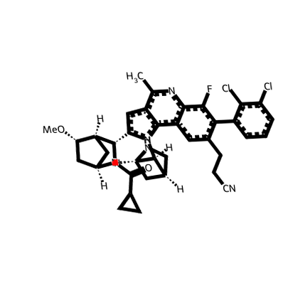 CO[C@H]1C[C@H]2C[C@@H]1[C@H](c1cc3c(C)nc4c(F)c(-c5cccc(Cl)c5Cl)c(CCC#N)cc4c3n1[C@H]1[C@H]3CN[C@@H]1C3)N2C(=O)C1CC1